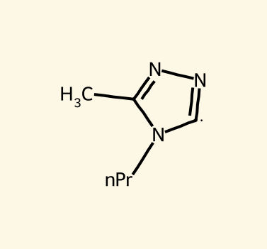 CCCn1[c]nnc1C